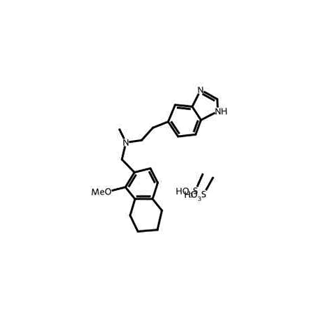 COc1c(CN(C)CCc2ccc3[nH]cnc3c2)ccc2c1CCCC2.CS(=O)(=O)O.CS(=O)(=O)O